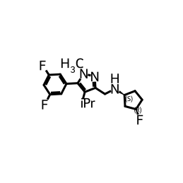 CC(C)c1c(CN[C@H]2CC[C@@H](F)C2)nn(C)c1-c1cc(F)cc(F)c1